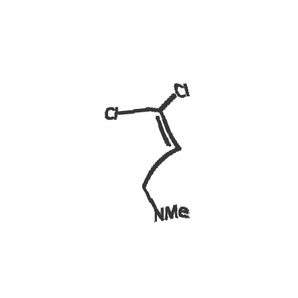 CNCC=C(Cl)Cl